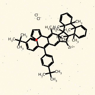 CC1=C(C2=CC=CC2)C(=C(c2ccc(C(C)(C)C)cc2)c2ccc(C(C)(C)C)cc2)C=C2[CH]([Zr+2])C3(C)C4(C)C=CC=CC4(C)C4(C)C=CC=CC4(C)C3(C)C21C.[Cl-].[Cl-]